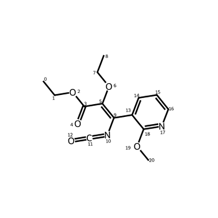 CCOC(=O)C(OCC)=C(N=C=O)c1cccnc1OC